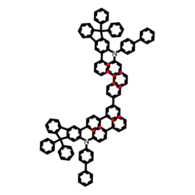 c1ccc(-c2ccc(N(c3ccc(-c4ccccc4)cc3)c3cc4c(cc3-c3ccc(-c5cccc(-c6ccc(-c7ccc(N(c8ccc(-c9ccccc9)cc8)c8cc9c(cc8-c8cccc(-c%10ccccc%10)c8)-c8ccccc8C9(c8ccccc8)c8ccccc8)cc7)cc6)c5)cc3)-c3ccccc3C4(c3ccccc3)c3ccccc3)cc2)cc1